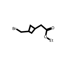 CCOC(=O)CC1CC(CBr)C1